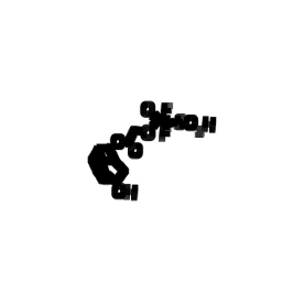 O=C(COC(=O)C(F)(F)S(=O)(=O)O)OC1C2CC3CC1CC(O)(C3)C2